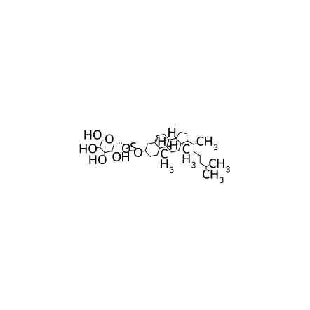 CC(C)CCC[C@@H](C)[C@H]1CC[C@H]2[C@@H]3CC=C4CC(OSOC[C@H]5O[C@@H](O)[C@H](O)[C@@H](O)[C@H]5O)CC[C@]4(C)[C@H]3CC[C@]12C